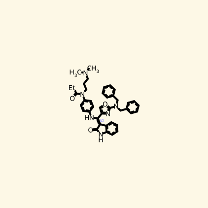 CCC(=O)N(CCCN(C)C)c1ccc(N/C(=C2\C(=O)Nc3ccccc32)c2coc(N(Cc3ccccc3)Cc3ccccc3)n2)cc1